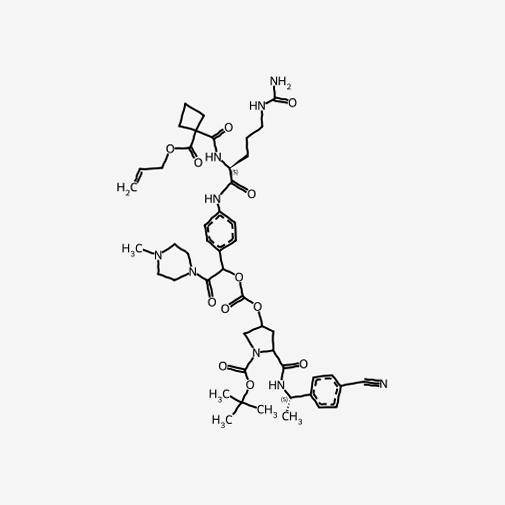 C=CCOC(=O)C1(C(=O)N[C@@H](CCCNC(N)=O)C(=O)Nc2ccc(C(OC(=O)OC3CC(C(=O)N[C@@H](C)c4ccc(C#N)cc4)N(C(=O)OC(C)(C)C)C3)C(=O)N3CCN(C)CC3)cc2)CCC1